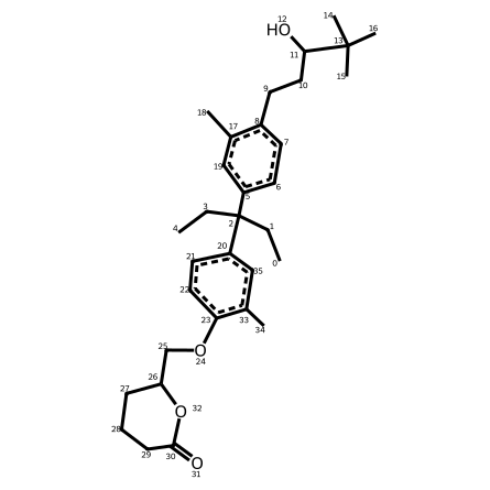 CCC(CC)(c1ccc(CCC(O)C(C)(C)C)c(C)c1)c1ccc(OCC2CCCC(=O)O2)c(C)c1